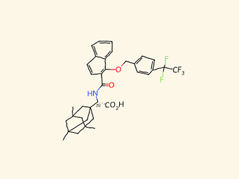 CC12CC3(C)CC(C)(C1)CC([C@H](NC(=O)c1ccc4ccccc4c1OCc1ccc(C(F)(F)C(F)(F)F)cc1)C(=O)O)(C2)C3